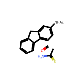 C=O.CC(=O)Nc1ccc2c(c1)Cc1ccccc1-2.CC(N)=S